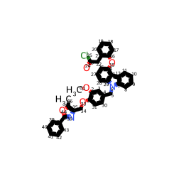 COc1cc(Cn2c3ccccc3c3c(Oc4ccccc4CC(=O)Cl)cccc32)ccc1OCc1nc(-c2ccccc2)oc1C